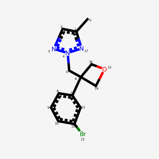 Cc1cnn(CC2(c3cccc(Br)c3)COC2)n1